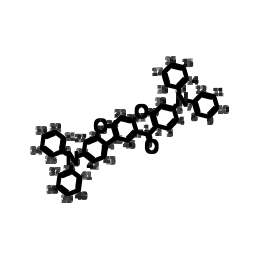 O=c1c2ccc(N(c3ccccc3)c3ccccc3)cc2oc2cc3oc4cc(N(c5ccccc5)c5ccccc5)ccc4c3cc12